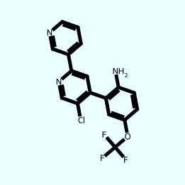 Nc1ccc(OC(F)(F)F)cc1-c1cc(-c2cccnc2)ncc1Cl